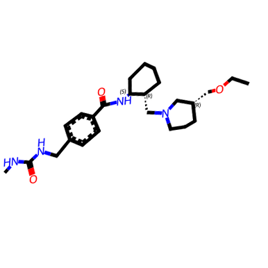 CCOC[C@@H]1CCCN(C[C@H]2CCCC[C@@H]2NC(=O)c2ccc(CNC(=O)NC)cc2)C1